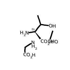 CC(O)[C@H](N)C(=O)O.CC=O.NCC(=O)O